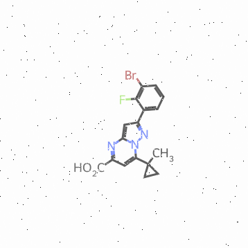 CC1(c2cc(C(=O)O)nc3cc(-c4cccc(Br)c4F)nn23)CC1